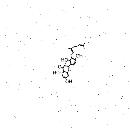 CC(C)=CCC/C(C)=C/Cc1c(O)ccc(C2CC(=O)c3c(O)cc(O)cc3O2)c1O